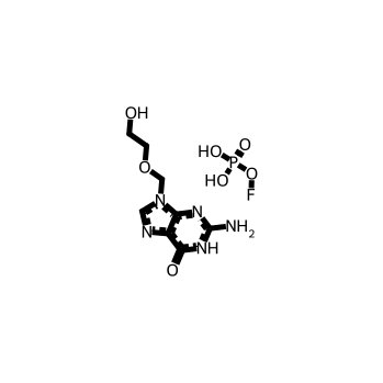 Nc1nc2c(ncn2COCCO)c(=O)[nH]1.O=P(O)(O)OF